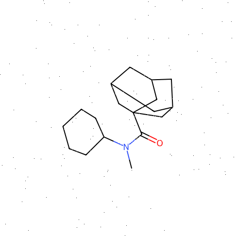 CN(C(=O)C12CC3CC(CC(C3)C1)C2)C1CCCCC1